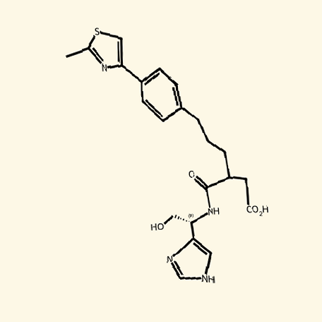 Cc1nc(-c2ccc(CCCC(CC(=O)O)C(=O)N[C@@H](CO)c3c[nH]cn3)cc2)cs1